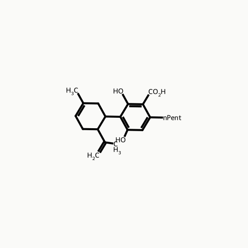 C=C(C)C1CC=C(C)CC1c1c(O)cc(CCCCC)c(C(=O)O)c1O